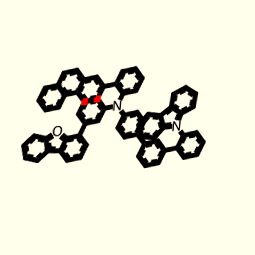 c1cc(-c2ccc(N(c3cccc(-c4cccc5c4oc4ccccc45)c3)c3ccccc3-c3ccc4c(ccc5ccccc54)c3)cc2)cc(-c2ccccc2-n2c3ccccc3c3ccccc32)c1